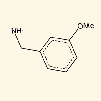 COc1cccc(C[NH])c1